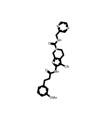 COc1cccc(CCC(=O)Nc2sc3c(c2C#N)CCN(C(=O)NCc2cnccn2)C3)c1